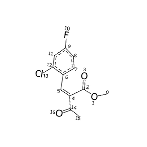 COC(=O)/C(=C\c1ccc(F)cc1Cl)C(C)=O